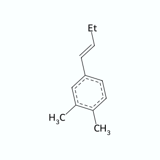 CCC=Cc1ccc(C)c(C)c1